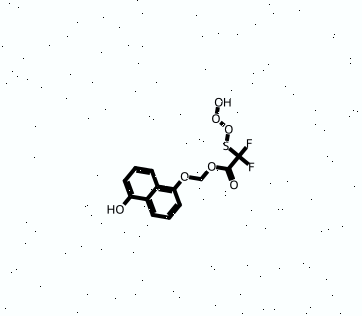 O=C(OCOc1cccc2c(O)cccc12)C(F)(F)SOOO